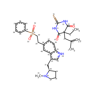 C=C(C)CC1(CC)C(=O)NC(=S)NC1=O.CN1CCC[C@@H]1Cc1c[nH]c2ccc(CCS(=O)(=O)c3ccccc3)cc12